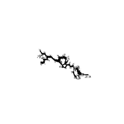 C=CC(O)C/C(=C\C=C1/CCCC2(C)C(CCCN3CCO[C@H](C)C3)CCC12)CCC